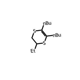 CCCCC1=C(CCCC)SC(CC)CS1